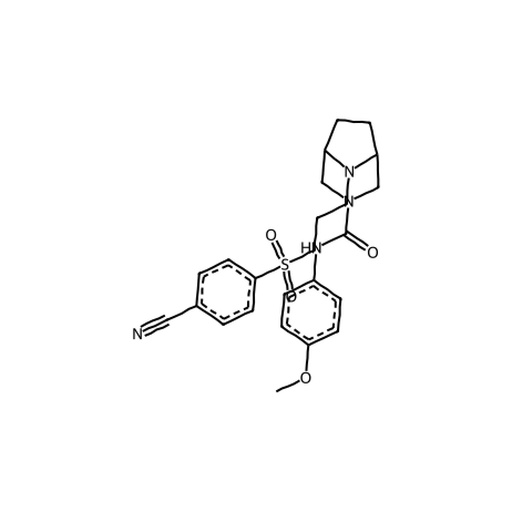 COc1ccc(NC(=O)N2CC3CCC(C2)N3CCCS(=O)(=O)c2ccc(C#N)cc2)cc1